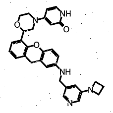 O=c1cc(N2CCOC(c3cccc4c3Oc3ccc(NCc5cncc(N6CCC6)c5)cc3C4)C2)cc[nH]1